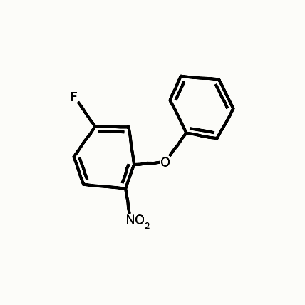 O=[N+]([O-])c1ccc(F)cc1Oc1ccccc1